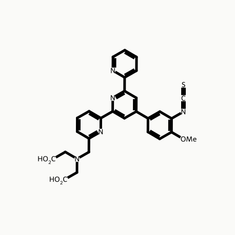 COc1ccc(-c2cc(-c3ccccn3)nc(-c3cccc(CN(CC(=O)O)CC(=O)O)n3)c2)cc1N=C=S